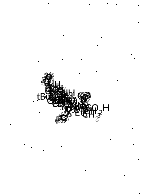 CCC(C)(C)[C@@H]1CN(CC(=O)N2C[C@](C)(C(=O)NCC(=O)Nc3ccc4c(c3)CN(C(=O)[C@@H](NC(=O)[C@H](C)N(C)C(=O)OC(C)(C)C)C(C)(C)C)[C@H](C(=O)N[C@@H]3CCCc5ccccc53)C4)c3ccc(Cc4ccc(F)cc4)cc32)[C@@H](CN2CCOC[C@H]2C)CN1C(=O)O